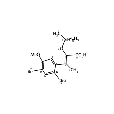 COc1cc(C(C)=C(O[SiH](C)C)C(=O)O)c(C(C)(C)C)cc1Br